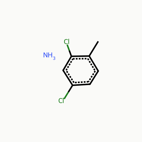 Cc1ccc(Cl)cc1Cl.N